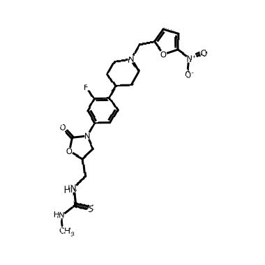 CNC(=S)NCC1CN(c2ccc(C3CCN(Cc4ccc([N+](=O)[O-])o4)CC3)c(F)c2)C(=O)O1